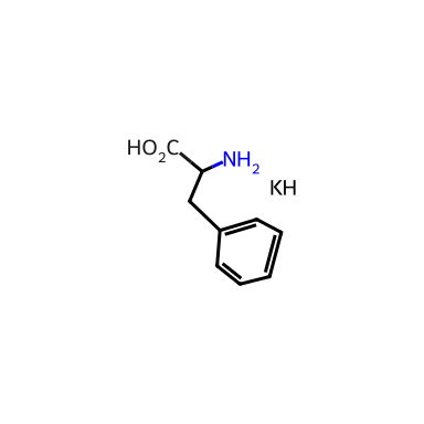 NC(Cc1ccccc1)C(=O)O.[KH]